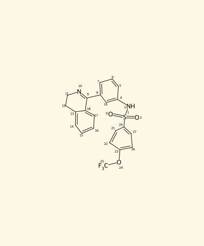 O=S(=O)(Nc1cccc(C2=NCCc3ccccc32)c1)c1ccc(OC(F)(F)F)cc1